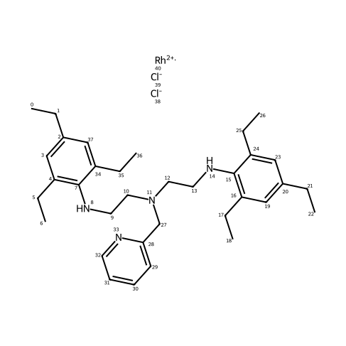 CCc1cc(CC)c(NCCN(CCNc2c(CC)cc(CC)cc2CC)Cc2ccccn2)c(CC)c1.[Cl-].[Cl-].[Rh+2]